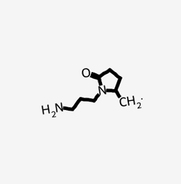 [CH2]C1CCC(=O)N1CCCN